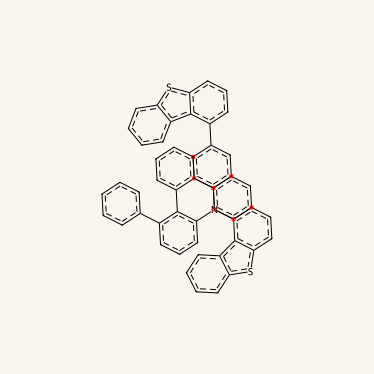 c1ccc(-c2ccccc2-c2c(-c3ccccc3)cccc2N(c2ccc(-c3cccc4sc5ccccc5c34)cc2)c2cccc3sc4ccccc4c23)cc1